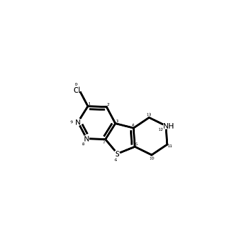 Clc1cc2c3c(sc2nn1)CCNC3